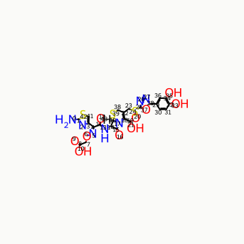 Nc1nc(C(=NOCC(=O)O)C(=O)N[C@@H]2C(=O)N3C(C(=O)O)=C(CSc4nnc(-c5ccc(O)c(O)c5)o4)CS[C@@H]23)cs1